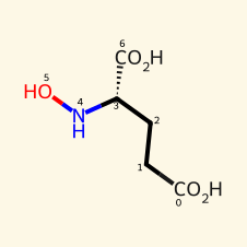 O=C(O)CC[C@H](NO)C(=O)O